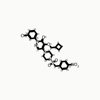 O=c1c(OCC2CCC2)c(N2CCN(S(=O)(=O)Cc3ccc([N+](=O)[O-])cc3)CC2)cnn1-c1cccc(Cl)c1